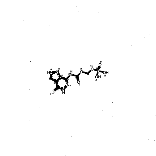 O=C(Nc1n[nH]c(=O)c2c[nH]nc12)OCOP(=O)(O)O